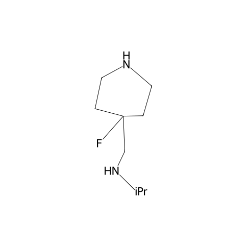 CC(C)NCC1(F)CCNCC1